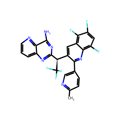 Cc1ccc(-c2nc3c(F)cc(F)c(F)c3cc2[C@H](c2nc(N)c3ncccc3n2)C(F)(F)F)cn1